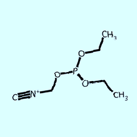 [C-]#[N+]COP(OCC)OCC